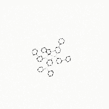 c1ccc(-c2cccc(N3B4c5ccc(N(c6ccccc6)c6ccccc6)cc5N(c5cccc(-c6ccccc6)c5)c5c4c(cc4ccccc54)-c4cc(-c5ccccc5)ccc43)c2)cc1